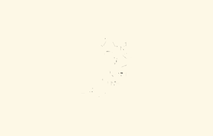 CCn1c2ccccc2c2cc(NC(=O)NC3CCC(O)CC3)ccc21